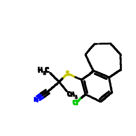 CC(C)(C#N)Sc1c(Cl)ccc2c1CCCCC2